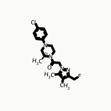 Cc1c(CF)nn(CC(=O)N2CCN(c3ccc(Cl)cc3)C[C@@H]2C)c1C